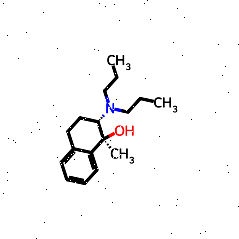 CCCN(CCC)[C@H]1CCc2ccccc2[C@]1(C)O